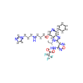 CCn1c(-c2nonc2NOC(=O)C(F)(F)F)nc2c(-c3ccccc3)ncc(OCCCNCCCn3ccnc3)c21